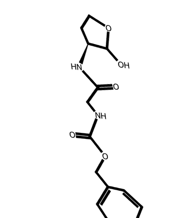 O=C(CNC(=O)OCc1ccccc1)N[C@H]1CCOC1O